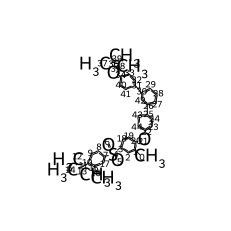 Cc1cc(S(=O)(=O)c2ccc(C(C)(C)C)c(C)c2)ccc1Oc1ccc(-c2cccc(-c3ccc(OC(C)(C)C)cc3)c2)cc1